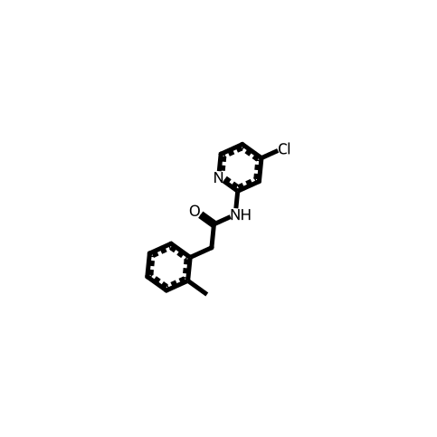 Cc1ccccc1CC(=O)Nc1cc(Cl)ccn1